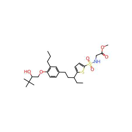 CCCc1cc(CCC(CC)c2ccc(S(=O)(=O)NCC(=O)OC)s2)ccc1OCC(O)C(C)(C)C